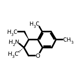 CC[C@H]1c2c(C)cc(C)cc2OC[C@@]1(C)N